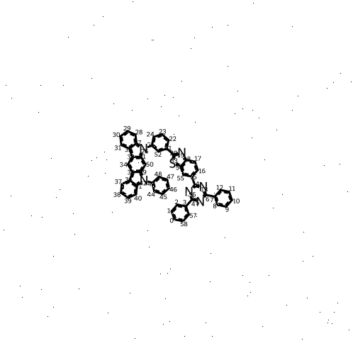 c1ccc(-c2nc(-c3ccccc3)nc(-c3ccc4nc(-c5cccc(-n6c7ccccc7c7cc8c9ccccc9n(-c9ccccc9)c8cc76)c5)sc4c3)n2)cc1